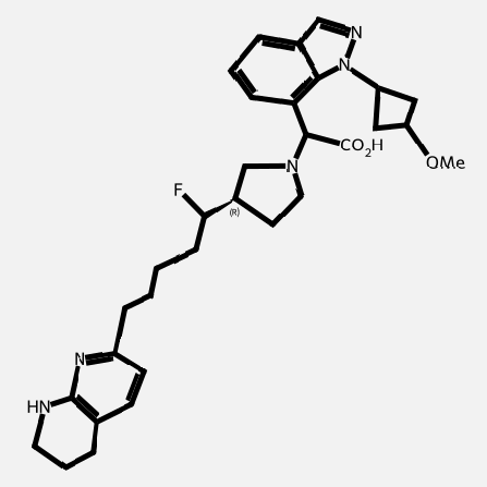 COC1CC(n2ncc3cccc(C(C(=O)O)N4CC[C@@H](C(F)CCCCc5ccc6c(n5)NCCC6)C4)c32)C1